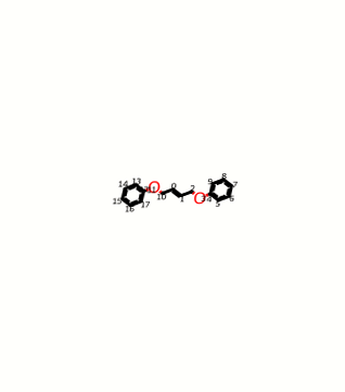 C(=CCOc1ccccc1)COc1ccccc1